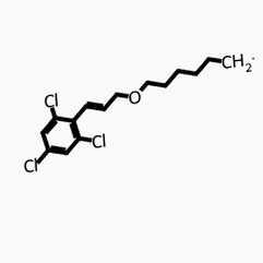 [CH2]CCCCCOCC=Cc1c(Cl)cc(Cl)cc1Cl